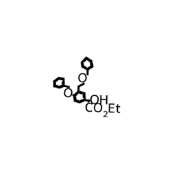 CCOC(=O)C(O)c1ccc(OCc2ccccc2)c(CCOCc2ccccc2)c1